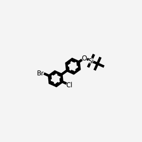 CC(C)(C)[Si](C)(C)Oc1ccc(-c2cc(Br)ccc2Cl)cc1